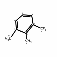 Cc1[c]c[c]c(C(F)(F)F)c1C